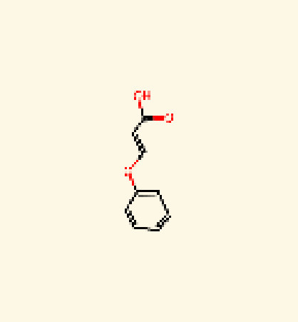 O=C(O)/C=C/Oc1ccccc1